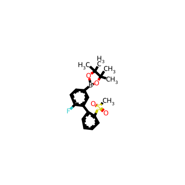 CC1(C)OB(c2ccc(F)c(-c3ccccc3S(C)(=O)=O)c2)OC1(C)C